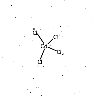 [Cl][Cd]([Cl])([Cl])[Cl]